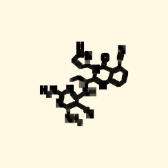 CC[C@H](Nc1nc(N)nc(N)c1C#N)c1nc2cccc(C#N)c2c(=O)n1-c1cc[nH]n1